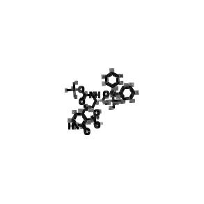 CC(C)(C)OC(=O)N[C@H](CO[Si](c1ccccc1)(c1ccccc1)C(C)(C)C)CSc1cc[nH]c(=O)c1[N+](=O)[O-]